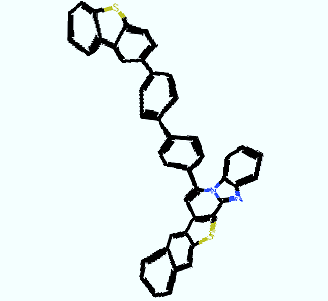 c1ccc2cc3c(cc2c1)sc1c3cc(-c2ccc(-c3ccc(-c4ccc5sc6ccccc6c5c4)cc3)cc2)n2c3ccccc3nc12